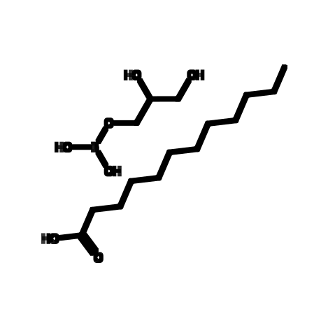 CCCCCCCCCCCC(=O)O.OCC(O)COB(O)O